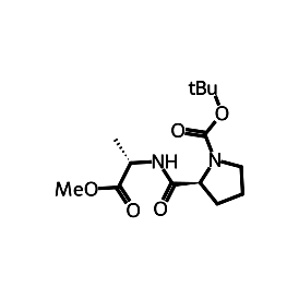 COC(=O)[C@H](C)NC(=O)[C@@H]1CCCN1C(=O)OC(C)(C)C